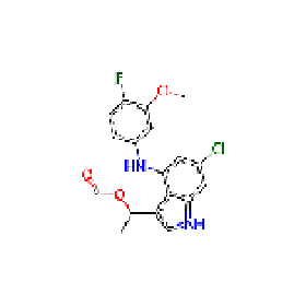 COc1cc(Nc2cc(Cl)cc3[nH]cc(C(C)OC=O)c23)ccc1F